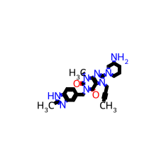 CC#CCn1c(N2CCCC(N)C2)nc2c1c(=O)n(Cc1ccc3[nH]c(C)nc3c1)c(=O)n2C